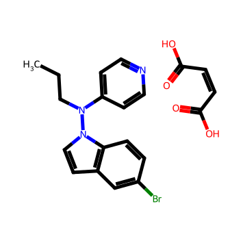 CCCN(c1ccncc1)n1ccc2cc(Br)ccc21.O=C(O)/C=C\C(=O)O